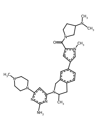 CC1Cc2ccc(-c3cc(C(=O)N4CCC(N(C)C)C4)n(C)c3)cc2CN1c1cc(N2CCN(C)CC2)nc(N)n1